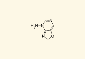 NN1C=NC=C2OCN=C21